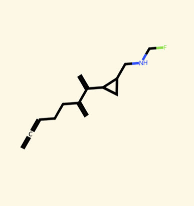 C=C=CCCC(=C)C(=C)C1CC1CNCF